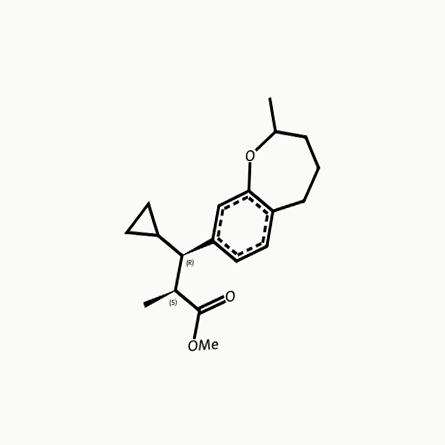 COC(=O)[C@@H](C)[C@H](c1ccc2c(c1)OC(C)CCC2)C1CC1